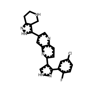 Fc1ccc(Cl)cc1-c1n[nH]cc1-c1ccc2ncc(-c3[nH]nc4c3CNCC4)cc2n1